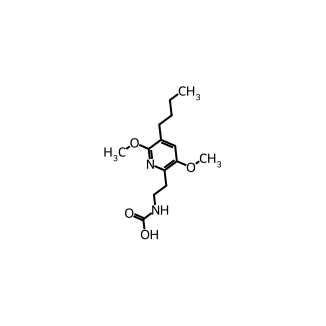 CCCCc1cc(OC)c(CCNC(=O)O)nc1OC